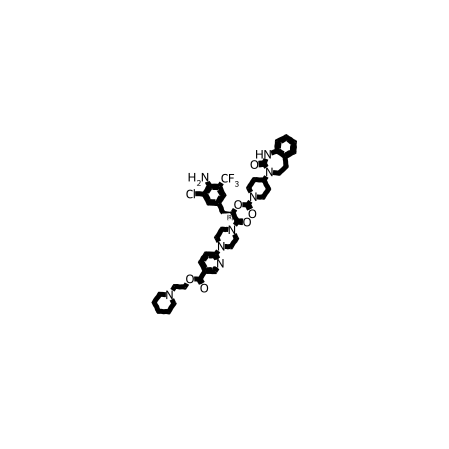 Nc1c(Cl)cc(C[C@@H](OC(=O)N2CCC(N3CCc4ccccc4NC3=O)CC2)C(=O)N2CCN(c3ccc(C(=O)OCCN4CCCCC4)cn3)CC2)cc1C(F)(F)F